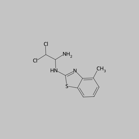 Cc1cccc2sc(NC(N)C(Cl)Cl)nc12